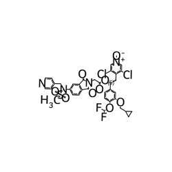 CS(=O)(=O)N(Cc1ccncc1)c1ccc2c(c1)C(=O)N(CC(=O)O[C@@H](Cc1c(Cl)c[n+]([O-])cc1Cl)c1ccc(OC(F)F)c(OCC3CC3)c1)C2=O